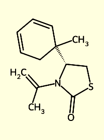 C=C(C)N1C(=O)SC[C@H]1C1(C)C=CC=CC1